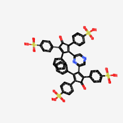 O=C1C(c2ccc(S(=O)(=O)O)cc2)=C(c2ccccc2)C(c2cncc(C3=C(c4ccc(S(=O)(=O)O)cc4)C(=O)C(c4ccc(S(=O)(=O)O)cc4)=C3c3ccccc3)n2)=C1c1ccc(S(=O)(=O)O)cc1